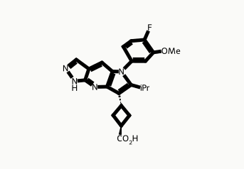 COc1cc(-n2c(C(C)C)c([C@H]3C[C@H](C(=O)O)C3)c3nc4[nH]ncc4cc32)ccc1F